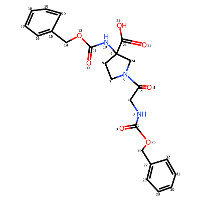 O=C(NCC(=O)N1CCC(NC(=O)OCc2ccccc2)(C(=O)O)C1)OCc1ccccc1